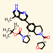 Cc1c[nH]c2ncc(-c3cc4c(c([C@@H]5CCCN5C(=O)OC(C)(C)C)c3)CN(C(=O)[C@@H]3CCOC3)CC4)cc12